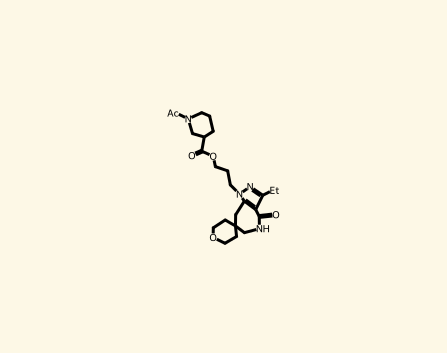 CCc1nn(CCCOC(=O)C2CCCN(C(C)=O)C2)c2c1C(=O)NCC1(CCOCC1)C2